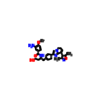 Cc1noc(C)c1-c1cccn2cc(-c3ccc(C[C@@H](CCO)NC(=O)c4ccc(OC(C)C)c(N)c4)cc3)nc12